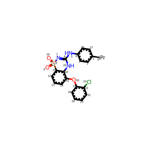 CC(C)c1ccc(NC2=NS(=O)(=O)c3cccc(Oc4ccccc4Cl)c3N2)cc1